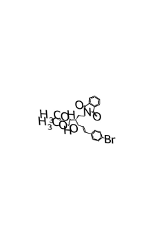 CC1(C)O[C@@H]2O[C@H](/C=C/c3ccc(Br)cc3)[C@H](CCN3C(=O)c4ccccc4C3=O)[C@@H]2O1